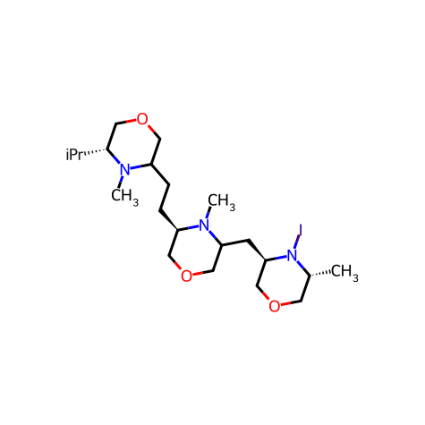 CC(C)[C@@H]1COCC(CC[C@@H]2COCC(C[C@@H]3COC[C@@H](C)N3I)N2C)N1C